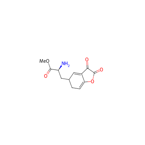 COC(=O)[C@@H](N)CC1C=C2C(=O)C(=O)OC2=CC1